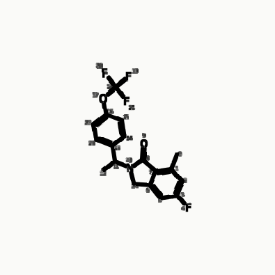 Cc1cc(F)cc2c1C(=O)N(C(C)c1ccc(OC(F)(F)F)cc1)C2